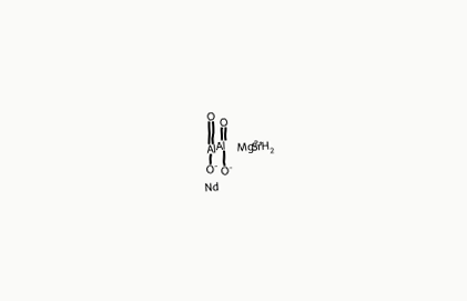 [Mg+2].[Nd].[O]=[Al][O-].[O]=[Al][O-].[SrH2]